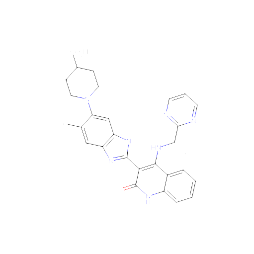 C[C@H](Nc1c(-c2nc3cc(C(F)(F)F)c(N4CCC(C(=O)O)CC4)cc3[nH]2)c(=O)[nH]c2ccccc12)c1ncccn1